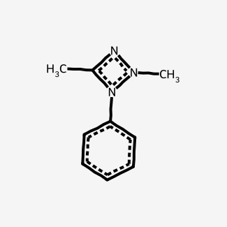 Cc1nn(C)n1-c1ccccc1